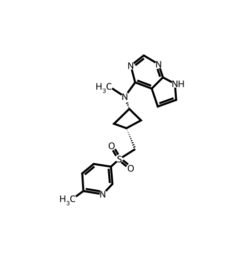 Cc1ccc(S(=O)(=O)C[C@H]2C[C@@H](N(C)c3ncnc4[nH]ccc34)C2)cn1